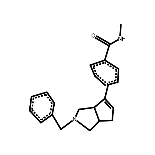 CNC(=O)c1ccc(C2=CCC3CN(Cc4ccccc4)CC23)cc1